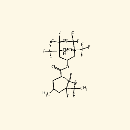 CC1CC(C(=O)OC(CC(O)(C(F)(F)F)C(F)(F)F)CC(O)(C(F)(F)F)C(F)(F)F)C(F)(F)C(F)(C(C)(F)F)C1